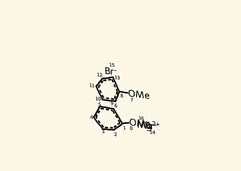 COc1ccccc1.COc1ccccc1.[Br-].[Br-].[Mg+2]